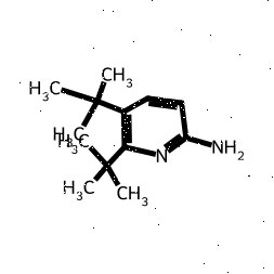 CC(C)(C)c1ccc(N)nc1C(C)(C)C